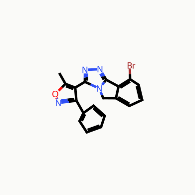 Cc1onc(-c2ccccc2)c1-c1nnc2n1Cc1cccc(Br)c1-2